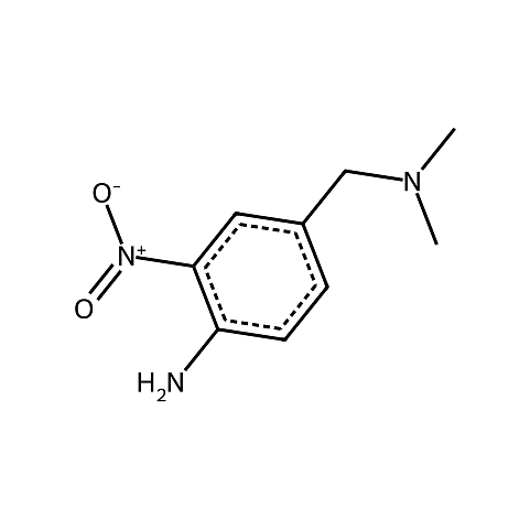 CN(C)Cc1ccc(N)c([N+](=O)[O-])c1